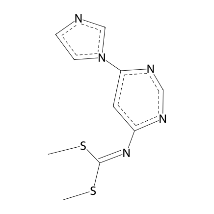 CSC(=Nc1cc(-n2ccnc2)ncn1)SC